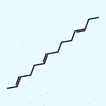 CC=CCCC=CCCC/C=[C]/CC